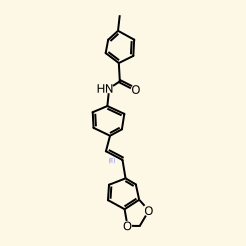 Cc1ccc(C(=O)Nc2ccc(/C=C/c3ccc4c(c3)OCO4)cc2)cc1